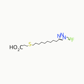 O=C(O)CCSCCCCCCCCCc1cn(CC[18F])nn1